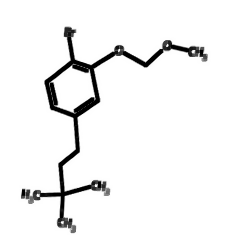 COCOc1cc(CCC(C)(C)C)ccc1Br